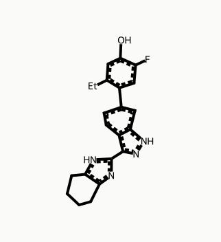 CCc1cc(O)c(F)cc1-c1ccc2c(-c3nc4c([nH]3)CCCC4)n[nH]c2c1